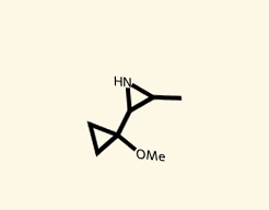 COC1(C2NC2C)CC1